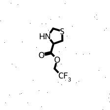 O=C(OCC(F)(F)F)C1CSCN1